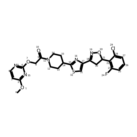 COc1ccnc(OCC(=O)N2CCC(c3nc(C4=NOC(c5c(F)cccc5Cl)C4)cs3)CC2)n1